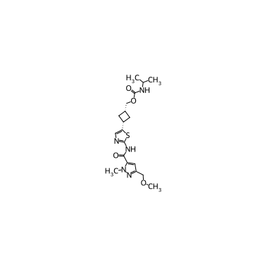 COCc1cc(C(=O)Nc2ncc([C@H]3C[C@@H](COC(=O)NC(C)C)C3)s2)n(C)n1